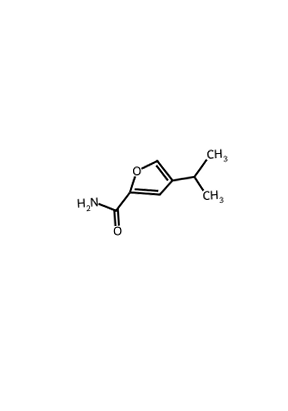 CC(C)c1coc(C(N)=O)c1